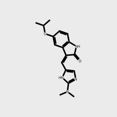 CC(C)Oc1ccc2c(c1)C(=Cc1cnc(N(C)C)[nH]1)C(=O)N2